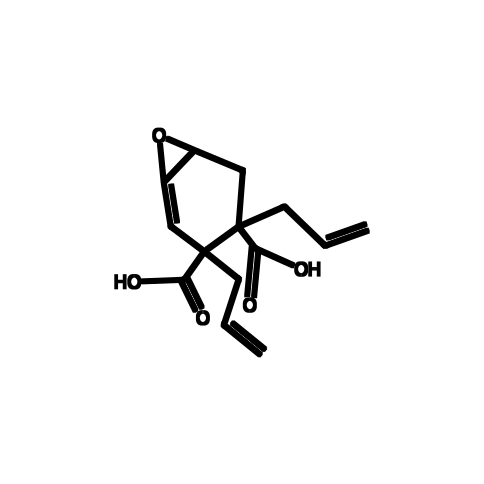 C=CCC1(C(=O)O)C=C2OC2CC1(CC=C)C(=O)O